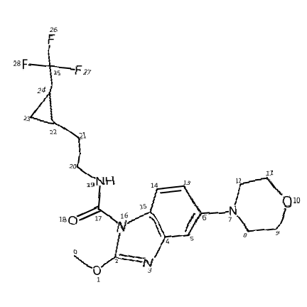 COc1nc2cc(N3CCOCC3)ccc2n1C(=O)NCCC1CC1C(F)(F)F